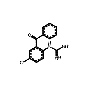 [NH]C(=N)Nc1ccc(Cl)cc1C(=O)c1ccccc1